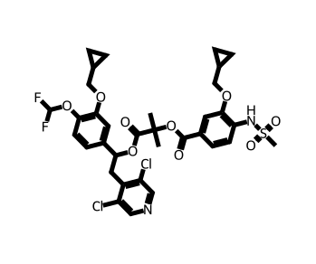 CC(C)(OC(=O)c1ccc(NS(C)(=O)=O)c(OCC2CC2)c1)C(=O)OC(Cc1c(Cl)cncc1Cl)c1ccc(OC(F)F)c(OCC2CC2)c1